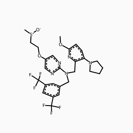 COc1ccc(N2CCCC2)c(CN(Cc2cc(C(F)(F)F)cc(C(F)(F)F)c2)c2ncc(OCC[S+](C)[O-])cn2)n1